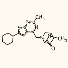 Cc1nc(CN2CC3CCC2C(=O)N3C)c2cc(C3CCCCC3)sc2n1